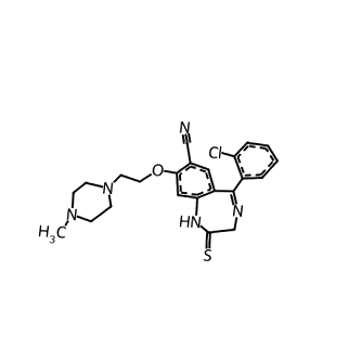 CN1CCN(CCOc2cc3c(cc2C#N)C(c2ccccc2Cl)=NCC(=S)N3)CC1